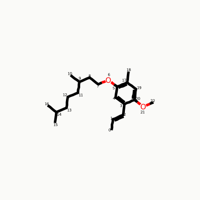 C/C=C/c1cc(OCCC(C)CCCC(C)C)c(C)cc1OC